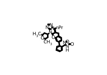 CCCc1c(Cc2ccc(-c3ccccc3-c3noc(=O)[nH]3)cc2)c(=O)n(C2C[C@@H](C)O[C@@H](C)C2)c2ncnn12